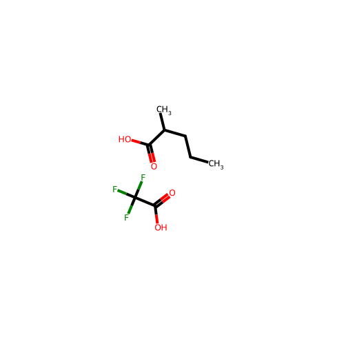 CCCC(C)C(=O)O.O=C(O)C(F)(F)F